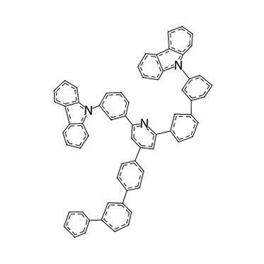 c1ccc(-c2cccc(-c3ccc(-c4cc(-c5cccc(-c6cccc(-n7c8ccccc8c8ccccc87)c6)c5)nc(-c5cccc(-n6c7ccccc7c7ccccc76)c5)c4)cc3)c2)cc1